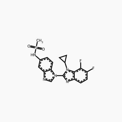 CS(=O)(=O)Nc1ccc2c(c1)ncn2-c1nc2ccc(F)c(F)c2n1C1CC1